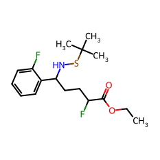 CCOC(=O)C(F)CCC(NSC(C)(C)C)c1ccccc1F